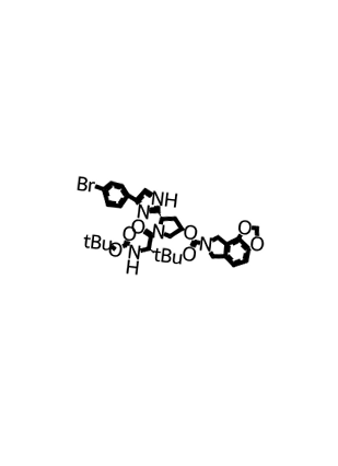 CC(C)(C)OC(=O)N[C@H](C(=O)N1C[C@H](OC(=O)N2Cc3ccc4c(c3C2)OCO4)C[C@H]1c1nc(-c2ccc(Br)cc2)c[nH]1)C(C)(C)C